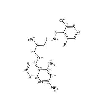 CCCC(CCNCc1c(F)cccc1Cl)COc1cccc2nc(N)nc(N)c12